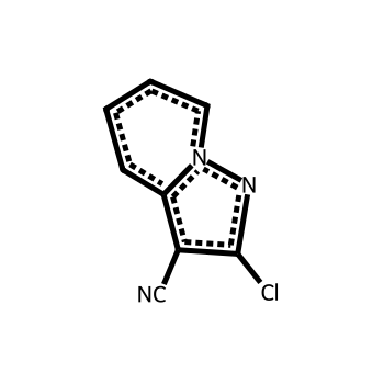 N#Cc1c(Cl)nn2ccccc12